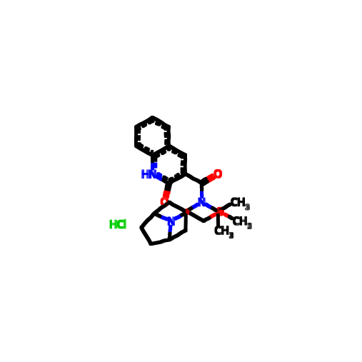 COCCN1C2CCC1CC(N(C(=O)c1cc3ccccc3[nH]c1=O)C(C)C)C2.Cl